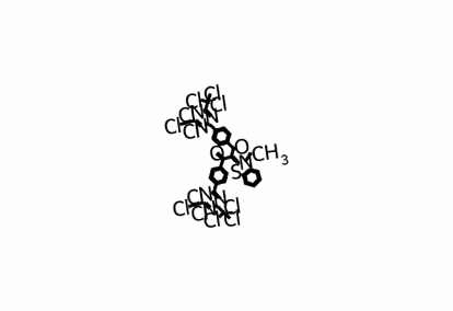 CCN1C(=C(C(=O)c2ccc(-c3nc(C(Cl)(Cl)Cl)nc(C(Cl)(Cl)Cl)n3)cc2)C(=O)c2ccc(-c3nc(C(Cl)(Cl)Cl)nc(C(Cl)(Cl)Cl)n3)cc2)Sc2ccccc21